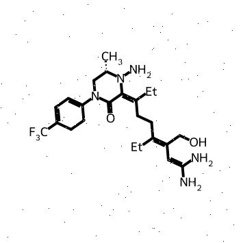 CC/C(CC/C(CC)=C1\C(=O)N(C2=CC=C(C(F)(F)F)CC2)C[C@H](C)N1N)=C(\C=C(N)N)CO